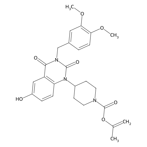 C=C(C)OC(=O)N1CCC(n2c(=O)n(Cc3ccc(OC)c(OC)c3)c(=O)c3cc(O)ccc32)CC1